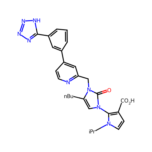 CCCCc1cn(-c2c(C(=O)O)ccn2C(C)C)c(=O)n1Cc1cc(-c2cccc(-c3nnn[nH]3)c2)ccn1